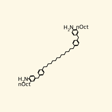 CCCCCCCCc1cc(Cc2ccc(CCCCCCCCCCCCCCc3ccc(Cc4ccc(N)c(CCCCCCCC)c4)cc3)cc2)ccc1N